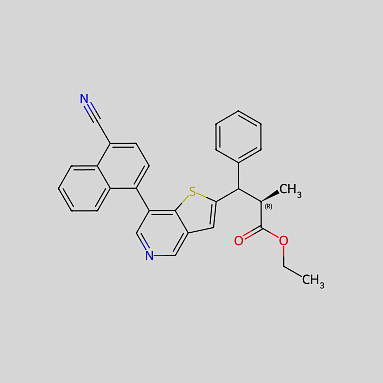 CCOC(=O)[C@H](C)C(c1ccccc1)c1cc2cncc(-c3ccc(C#N)c4ccccc34)c2s1